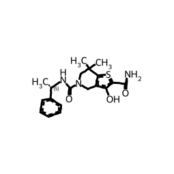 C[C@H](NC(=O)N1Cc2c(sc(C(N)=O)c2O)C(C)(C)C1)c1ccccc1